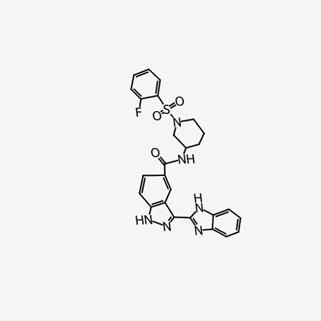 O=C(NC1CCCN(S(=O)(=O)c2ccccc2F)C1)c1ccc2[nH]nc(-c3nc4ccccc4[nH]3)c2c1